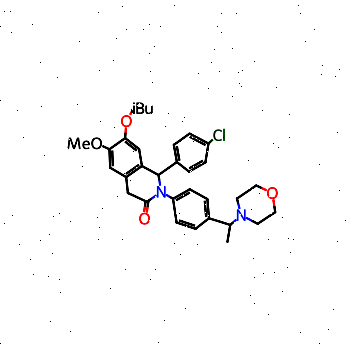 CCC(C)Oc1cc2c(cc1OC)CC(=O)N(c1ccc(C(C)N3CCOCC3)cc1)C2c1ccc(Cl)cc1